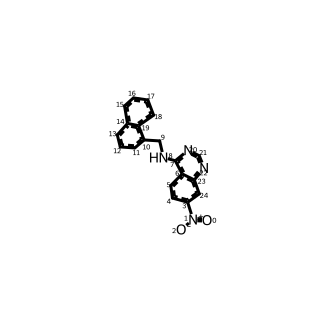 O=[N+]([O-])c1ccc2c(NCc3cccc4ccccc34)ncnc2c1